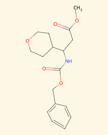 COC(=O)CC(NC(=O)OCc1ccccc1)C1CCOCC1